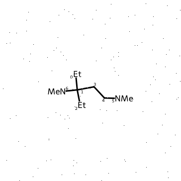 CCC(CC)(CCNC)NC